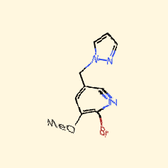 COc1cc(Cn2cccn2)cnc1Br